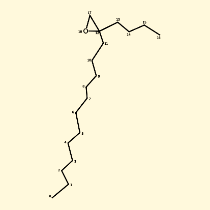 CCCCCCCCCCCCC1(CCCC)CO1